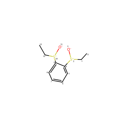 CC[S+]([O-])c1c[c]ccc1[S+]([O-])CC